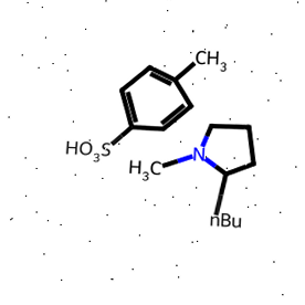 CCCCC1CCCN1C.Cc1ccc(S(=O)(=O)O)cc1